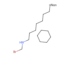 C1CCCCC1.CCCCCCCCCCCCCCCCNCBr